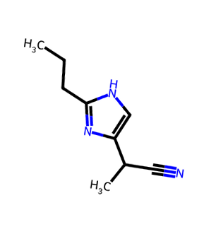 CCCc1nc(C(C)C#N)c[nH]1